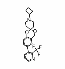 FC(F)(F)c1ncccc1-c1ccc2c(c1)COC1(CCN(C3CCC3)CC1)O2